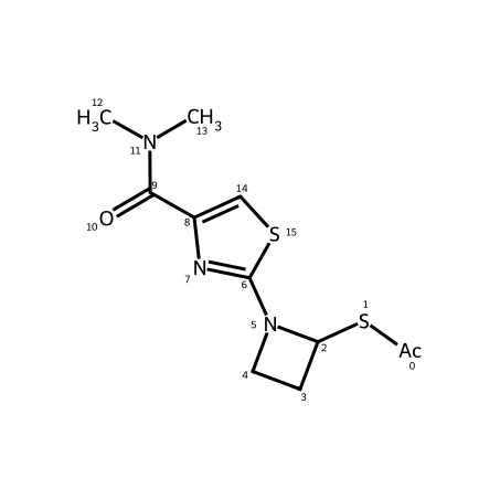 CC(=O)SC1CCN1c1nc(C(=O)N(C)C)cs1